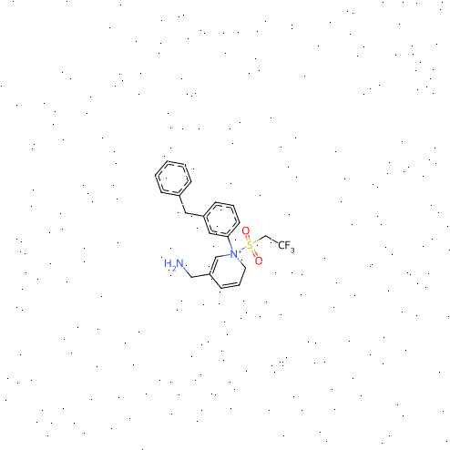 NCC1=C[N+](c2cccc(Cc3ccccc3)c2)(S(=O)(=O)CC(F)(F)F)CC=C1